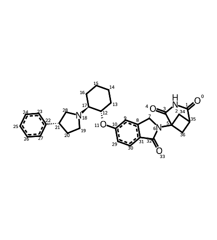 O=C1NC(=O)C2(N3Cc4cc(O[C@H]5CCCC[C@@H]5N5CC[C@H](c6ccccc6)C5)ccc4C3=O)CC1C2